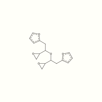 c1coc(CC(OC(Cc2ccco2)C2CO2)C2CO2)c1